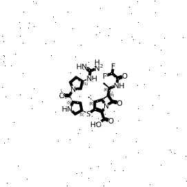 C[C@H]1C(S[C@@H]2CN[C@H](C(=O)N3CC[C@H](NC(=N)N)C3)C2)=C(C(=O)O)N2C(=O)[C@H]([C@@H](C)NC(=O)C(F)F)C12